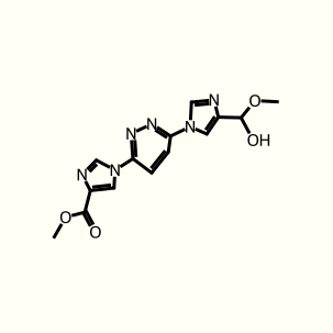 COC(=O)c1cn(-c2ccc(-n3cnc(C(O)OC)c3)nn2)cn1